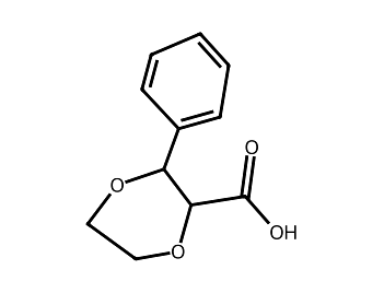 O=C(O)C1OCCOC1c1ccccc1